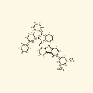 O=C1c2cccc(-n3c4ccccc4c4cc(-c5cc(C(F)(F)F)cc(C(F)(F)F)c5)ccc43)c2C(=O)N1c1cc(-c2ccccc2)ccc1-c1ccccc1